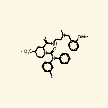 COc1ccccc1CN(C)CCNC(=O)C1CC(C(=O)O)CCN1C(=O)N(c1ccccc1)c1cccc(Cl)c1